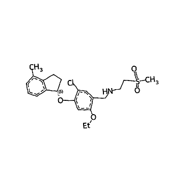 CCOc1cc(O[C@H]2CCc3c(C)cccc32)c(Cl)cc1CNCCS(C)(=O)=O